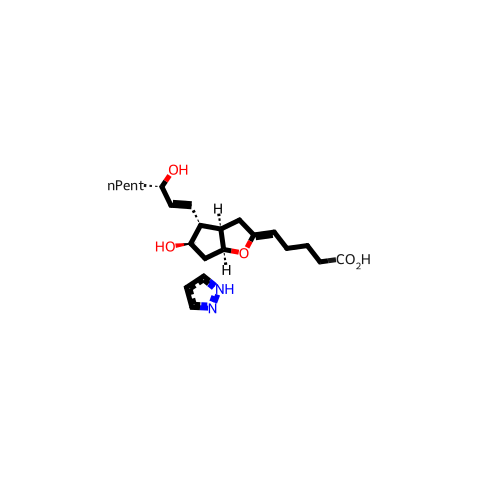 CCCCC[C@H](O)/C=C/[C@@H]1[C@H]2C/C(=C/CCCC(=O)O)O[C@H]2C[C@H]1O.c1cn[nH]c1